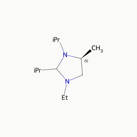 CCN1C[C@H](C)N(C(C)C)C1C(C)C